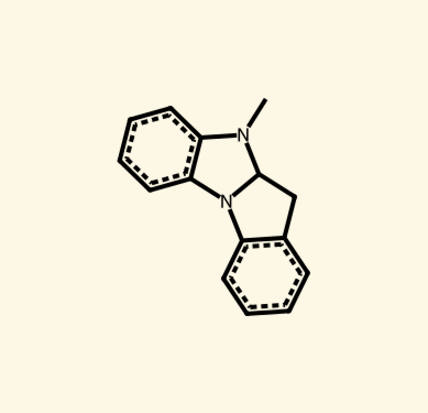 CN1c2ccccc2N2c3ccccc3CC12